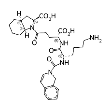 NCCCC[C@H](NC(=O)N1C=Cc2ccccc2C1)C(=O)N[C@H](CCC(=O)N1[C@H](C(=O)O)C[C@@H]2CCCC[C@@H]21)C(=O)O